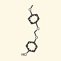 COc1ccc(OCOc2ccc(O)cc2)cc1